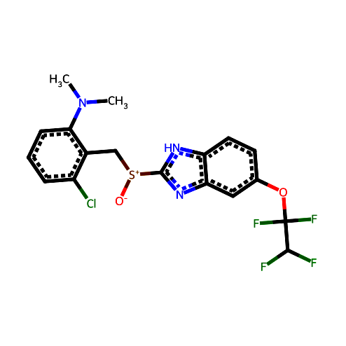 CN(C)c1cccc(Cl)c1C[S+]([O-])c1nc2cc(OC(F)(F)C(F)F)ccc2[nH]1